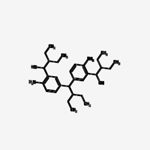 CCC(CC)C(O)c1cc(C(c2ccc(N)c(C(O)C(CC)CC)c2)C(CC)CC)ccc1N